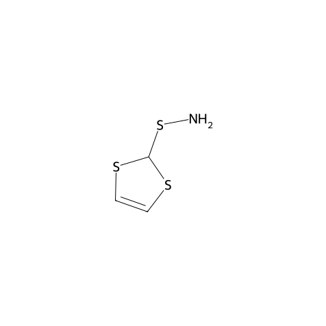 NSC1SC=CS1